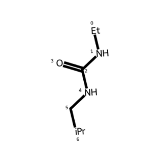 CCNC(=O)NCC(C)C